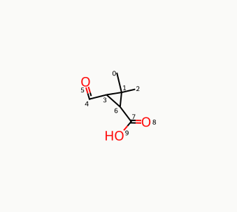 CC1(C)C(C=O)C1C(=O)O